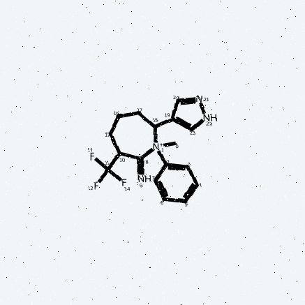 C[N+]1(c2ccccc2)C(=N)C(C(F)(F)F)CCCC1c1cn[nH]c1